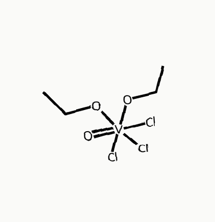 CC[O][V](=[O])([Cl])([Cl])([Cl])[O]CC